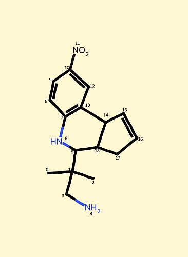 CC(C)(CN)C1Nc2ccc([N+](=O)[O-])cc2C2C=CCC21